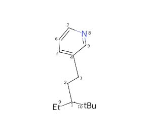 CC[C](CCc1cccnc1)C(C)(C)C